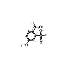 COc1ccc(C(=O)O)c(S(C)(=O)=O)c1